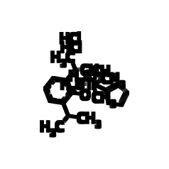 CC(C)c1cccc(C(C)C)c1[O][Ti]([CH3])([CH3])([CH3])([CH3])([CH3])[C]1=CC=CC1.Cl.Cl